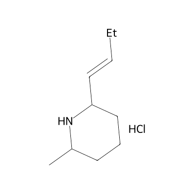 CCC=CC1CCCC(C)N1.Cl